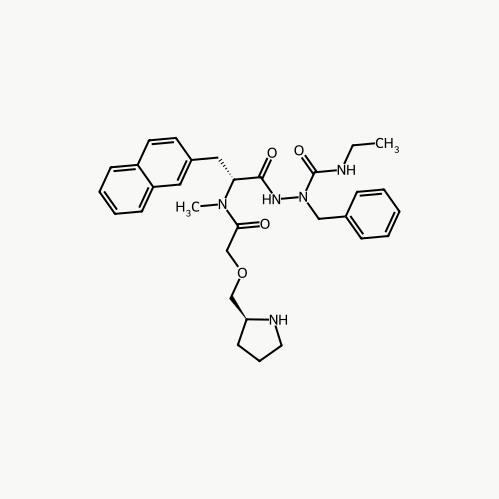 CCNC(=O)N(Cc1ccccc1)NC(=O)[C@@H](Cc1ccc2ccccc2c1)N(C)C(=O)COC[C@@H]1CCCN1